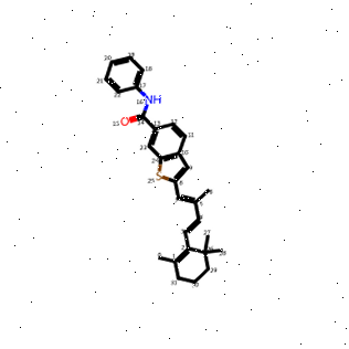 CC1=C(C=C/C(C)=C/c2cc3ccc(C(=O)Nc4ccccc4)cc3s2)C(C)(C)CCC1